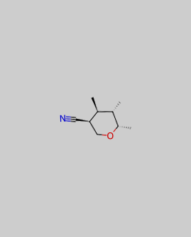 C[C@H]1[C@H](C)[C@H](C)OC[C@H]1C#N